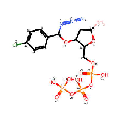 BC1CC(OC(N=[N+]=[N-])c2ccc(Cl)cc2)C(COP(=O)(O)OP(=O)(O)OP(=O)(O)O)O1